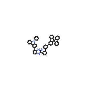 c1ccc(-n2c3ccccc3c3cc(-c4cccc5nc6c7cccc8c9cc(-c%10ccc%11c(c%10)-c%10ccccc%10C%11(c%10ccccc%10)c%10ccccc%10)ccc9n(c6nc45)c87)ccc32)cc1